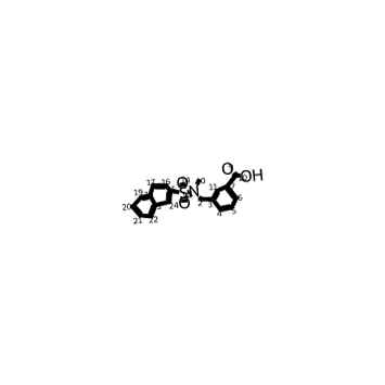 CN(Cc1cccc(C(=O)O)c1)S(=O)(=O)c1ccc2ccccc2c1